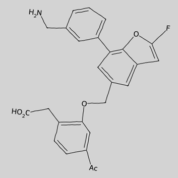 CC(=O)c1ccc(CC(=O)O)c(OCc2cc(-c3cccc(CN)c3)c3oc(F)cc3c2)c1